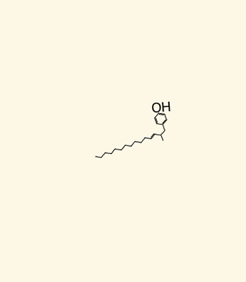 CCCCCCCCCCCC=CC(C)Cc1ccc(O)cc1